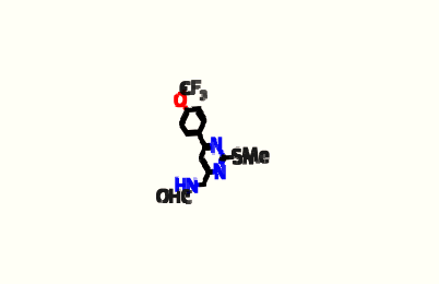 CSc1nc(CNC=O)cc(-c2ccc(OC(F)(F)F)cc2)n1